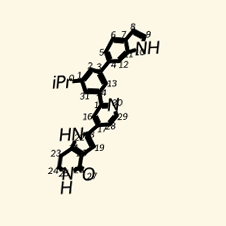 CC(C)c1cc(-c2ccc3cc[nH]c3c2)cc(-c2cc(-c3cc4c([nH]3)CCNC4=O)ccn2)c1